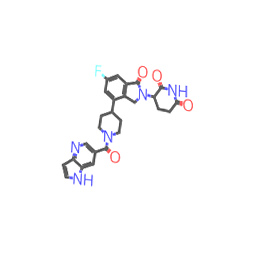 O=C1CCC(N2Cc3c(cc(F)cc3C3CCN(C(=O)c4cnc5cc[nH]c5c4)CC3)C2=O)C(=O)N1